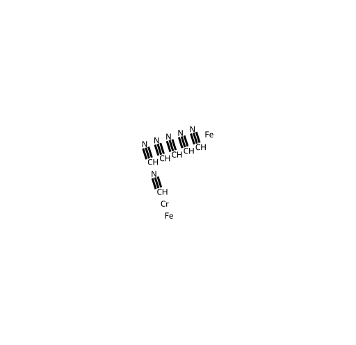 C#N.C#N.C#N.C#N.C#N.C#N.[Cr].[Fe].[Fe]